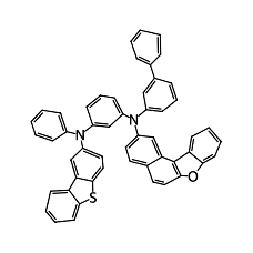 c1ccc(-c2cccc(N(c3cccc(N(c4ccccc4)c4ccc5sc6ccccc6c5c4)c3)c3ccc4ccc5oc6ccccc6c5c4c3)c2)cc1